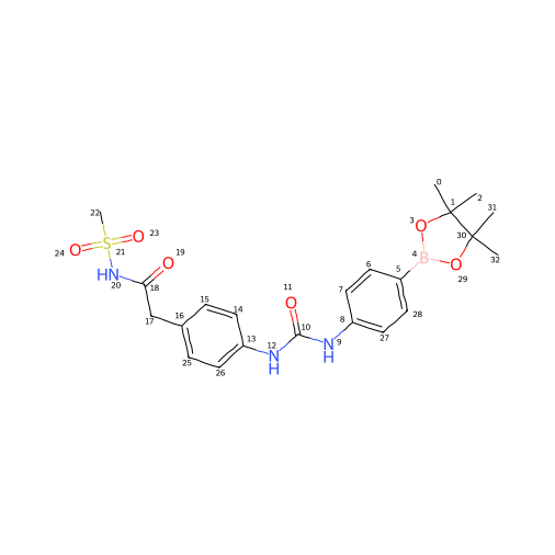 CC1(C)OB(c2ccc(NC(=O)Nc3ccc(CC(=O)NS(C)(=O)=O)cc3)cc2)OC1(C)C